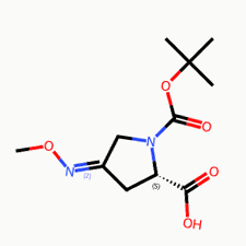 CO/N=C1/C[C@@H](C(=O)O)N(C(=O)OC(C)(C)C)C1